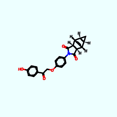 O=C(COc1ccc(N2C(=O)[C@@H]3[C@@H]4C=C[C@@H]([C@H]5C[C@@H]45)[C@@H]3C2=O)cc1)c1ccc(O)cc1